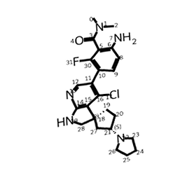 CN(C)C(=O)c1c(N)ccc(-c2cnc3c(c2Cl)[C@]2(CC[C@H](N4CCCC4)C2)CN3)c1F